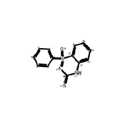 O=S1(c2ccccc2)=NC(=S)Nc2ccccc21